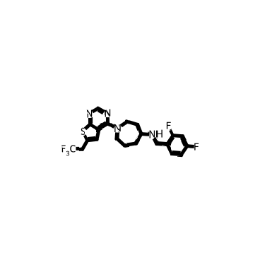 Fc1ccc(CNC2CCCN(c3ncnc4sc(CC(F)(F)F)cc34)CC2)c(F)c1